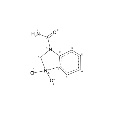 NC(=O)N1C[N+]([O-])(Cl)c2ccccc21